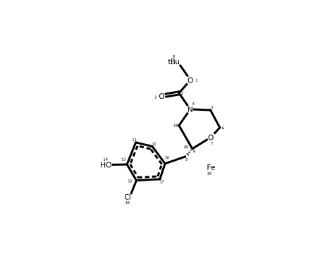 CC(C)(C)OC(=O)N1CCO[C@H](Cc2ccc(O)c(Cl)c2)C1.[Fe]